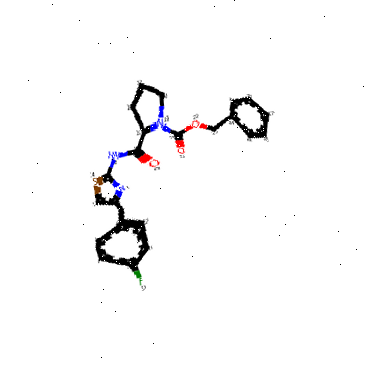 O=C(Nc1nc(-c2ccc(F)cc2)cs1)C1CCCN1C(=O)OCc1ccccc1